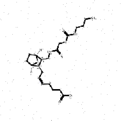 CCCCNC(=O)OCC(=O)NC[C@H]1[C@@H](C/C=C\CCCC(=O)O)[C@H]2CC[C@@H]1S2